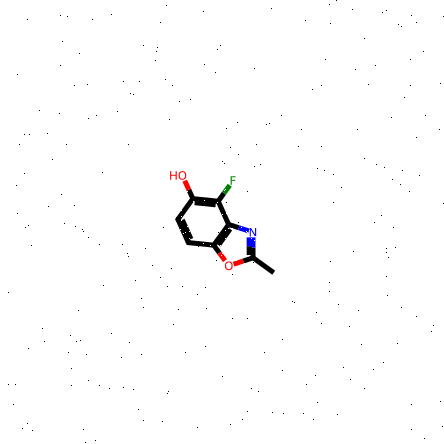 Cc1nc2c(F)c(O)ccc2o1